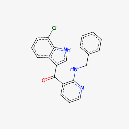 O=C(c1cccnc1NCc1ccccc1)c1c[nH]c2c(Cl)cccc12